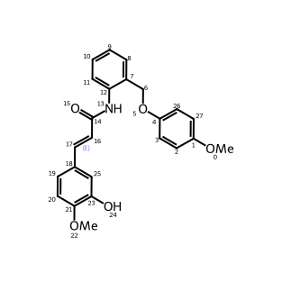 COc1ccc(OCc2ccccc2NC(=O)/C=C/c2ccc(OC)c(O)c2)cc1